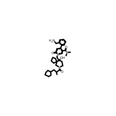 CC(CC1CCCCC1)C(=O)N1CCC(O)(Cn2cc(C(=O)N(C)C)c(-c3ccccc3CN)cc2=O)C2(CCCC2)C1